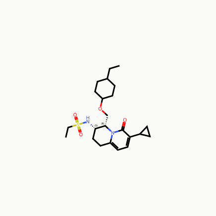 CCC1CCC(OC[C@H]2[C@@H](NS(=O)(=O)CC)CCc3ccc(C4CC4)c(=O)n32)CC1